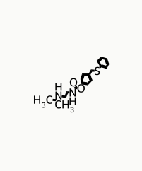 CC(C)NCCNC(=O)Oc1ccc(CSc2ccccc2)cc1